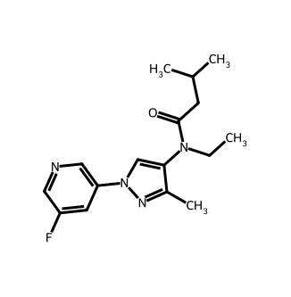 CCN(C(=O)CC(C)C)c1cn(-c2cncc(F)c2)nc1C